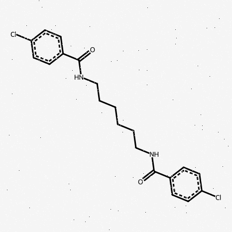 O=C(NCCCCCCNC(=O)c1ccc(Cl)cc1)c1ccc(Cl)cc1